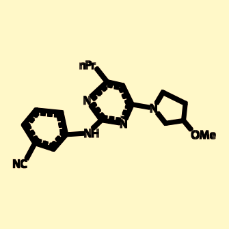 CCCc1cc(N2CCC(OC)C2)nc(Nc2cccc(C#N)c2)n1